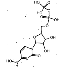 O=c1nc(NO)ccn1C1OC(COP(=O)(O)OP(=O)(O)O)C(O)C1O